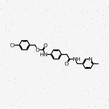 Cc1ccc(CNC(=O)Cc2ccc(NC(=O)OCc3ccc(Cl)cc3)cc2)cn1